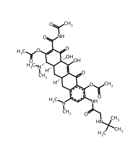 CC(=O)NC(=O)C1=C(OC(C)=O)[C@@H](N(C)C)[C@@H]2C[C@@H]3Cc4c(N(C)C)cc(NC(=O)CNC(C)(C)C)c(OC(C)=O)c4C(=O)C3=C(O)[C@]2(O)C1=O